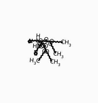 CCCCCCCCOC(CCC(=O)OCC(OC(=O)NCCCCN1CCCC1)C(COC(=O)CCC(OCCCCCCCC)OCCCCCCCC)OC(=O)NCCCCN1CCCC1)OCCCCCCCC